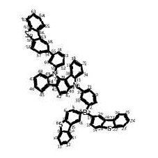 c1cc(B(c2ccc3sc4ccccc4c3c2)c2ccc3sc4ccccc4c3c2)cc(-n2c3ccccc3c3c2ccc2c4ccccc4n(-c4cccc(-c5ccc6sc7ccccc7c6c5)c4)c23)c1